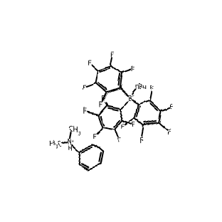 CCCC[B-](c1c(F)c(F)c(F)c(F)c1F)(c1c(F)c(F)c(F)c(F)c1F)c1c(F)c(F)c(F)c(F)c1F.C[NH+](C)c1ccccc1